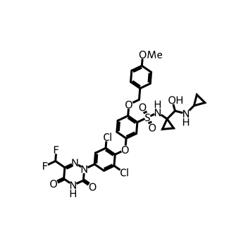 COc1ccc(COc2ccc(Oc3c(Cl)cc(-n4nc(C(F)F)c(=O)[nH]c4=O)cc3Cl)cc2S(=O)(=O)NC2(C(O)NC3CC3)CC2)cc1